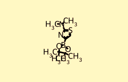 CN(C)c1nc(B2OC(C)(C)C(C)(C)O2)cs1